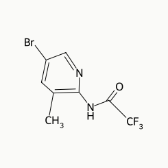 Cc1cc(Br)cnc1NC(=O)C(F)(F)F